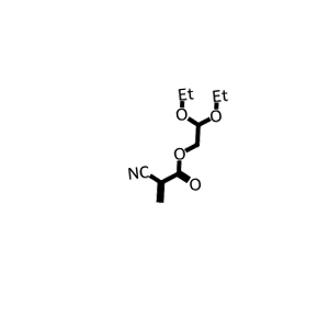 C=C(C#N)C(=O)OCC(OCC)OCC